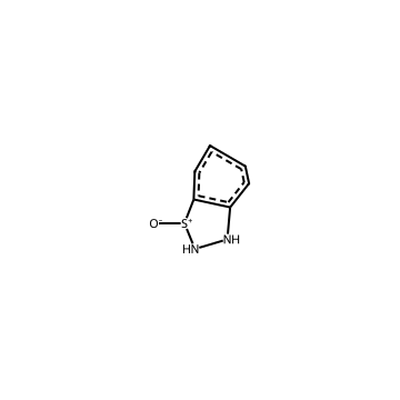 [O-][S+]1NNc2ccccc21